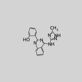 Cc1nc(Nc2nc(-c3ccccc3O)nc3ccccc23)n[nH]1